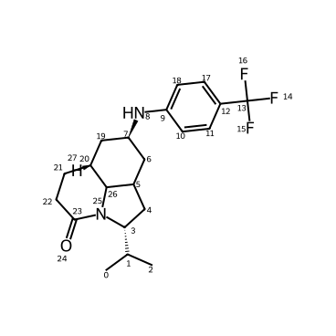 CC(C)[C@H]1CC2C[C@H](Nc3ccc(C(F)(F)F)cc3)C[C@H]3CCC(=O)N1C23